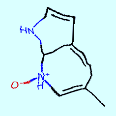 CC1=C[NH+]([O-])C2NC=CC2=C1